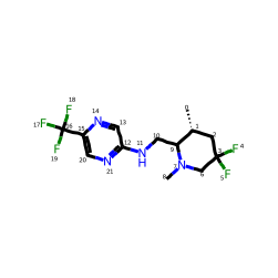 C[C@@H]1CC(F)(F)CN(C)C1CNc1cnc(C(F)(F)F)cn1